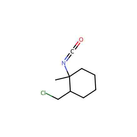 CC1(N=C=O)CCCCC1CCl